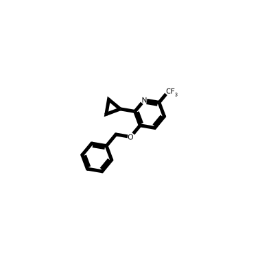 FC(F)(F)c1ccc(OCc2ccccc2)c(C2CC2)n1